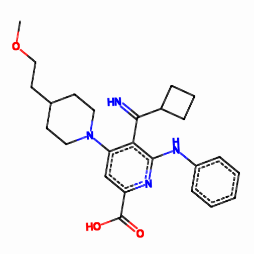 COCCC1CCN(c2cc(C(=O)O)nc(Nc3ccccc3)c2C(=N)C2CCC2)CC1